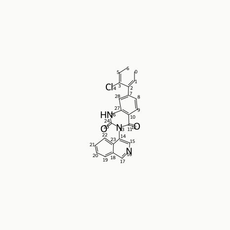 C/C=C(\C(Cl)=C/C)c1ccc2c(=O)n(-c3cncc4ccccc34)c(=O)[nH]c2c1